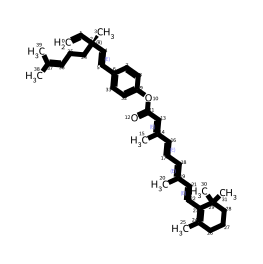 C=C[C@](C)(/C=C/c1ccc(OC(=O)/C=C(C)/C=C/C=C(C)/C=C/C2=C(C)CCCC2(C)C)cc1)CCC=C(C)C